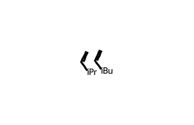 C=CC(C)C.C=CC(C)CC